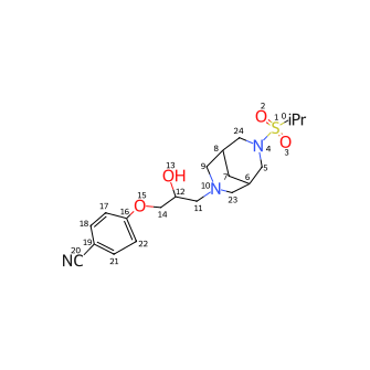 CC(C)S(=O)(=O)N1CC2CC(CN(CC(O)COc3ccc(C#N)cc3)C2)C1